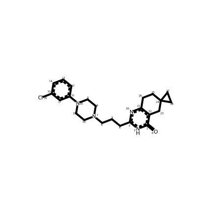 O=c1[nH]c(CCCN2CCN(c3cccc(Cl)c3)CC2)nc2c1CC1(CC2)CC1